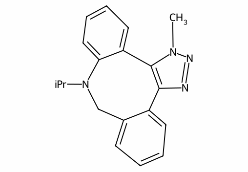 CC(C)N1Cc2ccccc2-c2nnn(C)c2-c2ccccc21